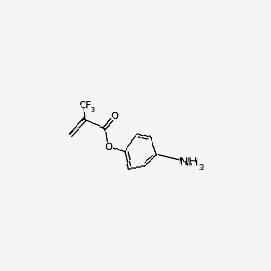 C=C(C(=O)Oc1ccc(N)cc1)C(F)(F)F